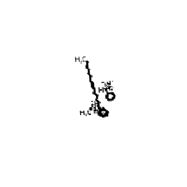 CCCCCCCCCCCCCCC(c1ccccc1)[N+](C)(C)CC.O=S(=O)([O-])NC1CCCCC1